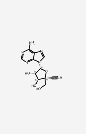 C#C[C@]1(CO)O[C@@H](n2cnc3c(N)ncnc32)[C@@H](O)[C@@H]1O